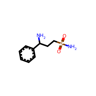 NC(CCS(N)(=O)=O)c1ccccc1